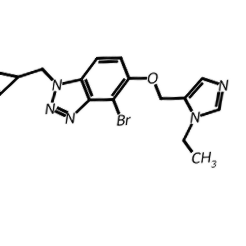 CCn1cncc1COc1ccc2c(nnn2CC2CC2)c1Br